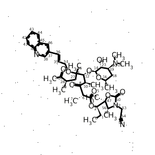 CC[C@@H](OC(=O)[C@H](C)C(=O)[C@H](C)[C@@H](O[C@@H]1O[C@H](C)C[C@H](N(C)C)[C@H]1O)C(C)(C[C@@H](C)C(C)=O)OC/C=C/c1cnc2ccccc2c1)[C@@]1(C)OC(=O)N(CC#N)[C@@H]1C